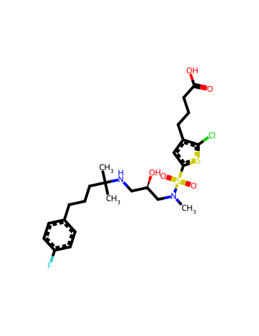 CN(C[C@H](O)CNC(C)(C)CCCc1ccc(F)cc1)S(=O)(=O)c1cc(CCCC(=O)O)c(Cl)s1